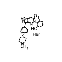 Br.CN1CCN(c2ccc(-c3n[nH]c4cc(=O)n(-c5c(O)cccc5F)nc34)cn2)CC1